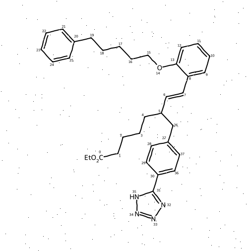 CCOC(=O)CCCCC(C=Cc1ccccc1OCCCCCc1ccccc1)Cc1ccc(-c2nnn[nH]2)cc1